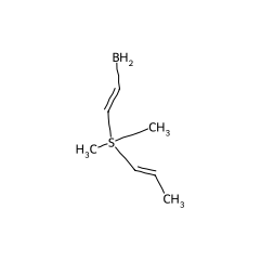 B/C=C/S(C)(C)C=CC